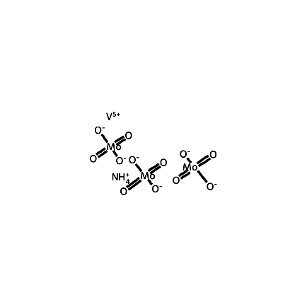 [NH4+].[O]=[Mo](=[O])([O-])[O-].[O]=[Mo](=[O])([O-])[O-].[O]=[Mo](=[O])([O-])[O-].[V+5]